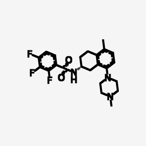 Cc1ccc(N2CCN(C)CC2)c2c1CC[C@@H](NS(=O)(=O)c1ccc(F)c(F)c1F)C2